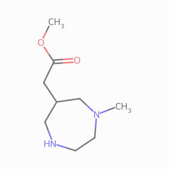 COC(=O)CC1CNCCN(C)C1